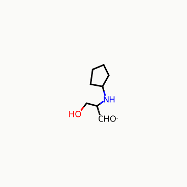 O=[C]C(CO)NC1CCCC1